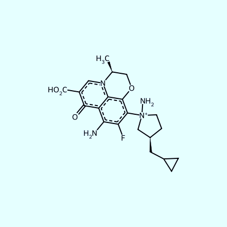 C[C@H]1COc2c([N+]3(N)CC[C@@H](CC4CC4)C3)c(F)c(N)c3c(=O)c(C(=O)O)cn1c23